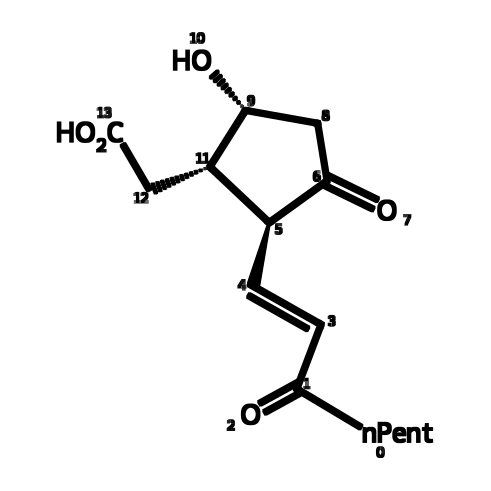 CCCCCC(=O)C=C[C@@H]1C(=O)C[C@@H](O)[C@H]1CC(=O)O